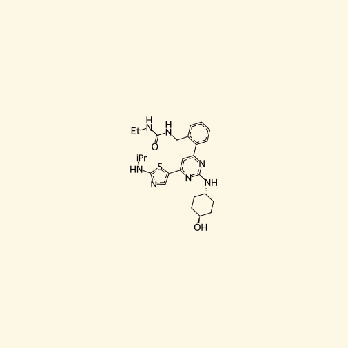 CCNC(=O)NCc1ccccc1-c1cc(-c2cnc(NC(C)C)s2)nc(N[C@H]2CC[C@H](O)CC2)n1